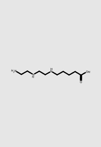 NCCNCCNCCCCC(=O)O